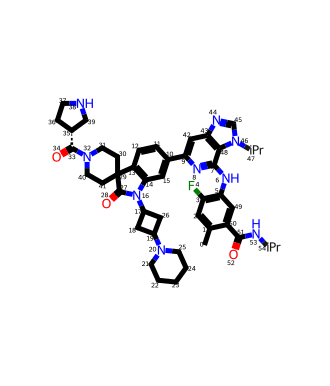 Cc1cc(F)c(Nc2nc(-c3ccc4c(c3)N(C3CC(N5CCCCC5)C3)C(=O)C43CCN(C(=O)[C@@H]4CCNC4)CC3)cc3ncn(C(C)C)c23)cc1C(=O)NC(C)C